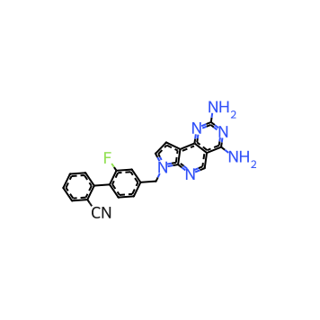 N#Cc1ccccc1-c1ccc(Cn2ccc3c4nc(N)nc(N)c4cnc32)cc1F